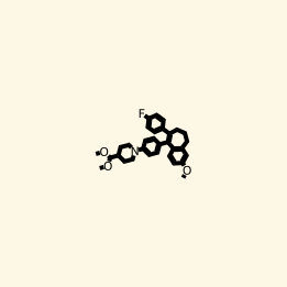 COc1ccc2c(c1)CCCC(c1ccc(F)cc1)=C2c1ccc(N2CCC(C(OC)OC)CC2)cc1